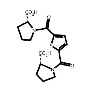 O=C(O)[C@H]1CCCN1C(=O)c1ccc(C(=O)N2CCC[C@@H]2C(=O)O)s1